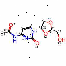 CCC(=O)Nc1ccn([C@@H]2CO[C@H](CO)O2)c(=O)n1